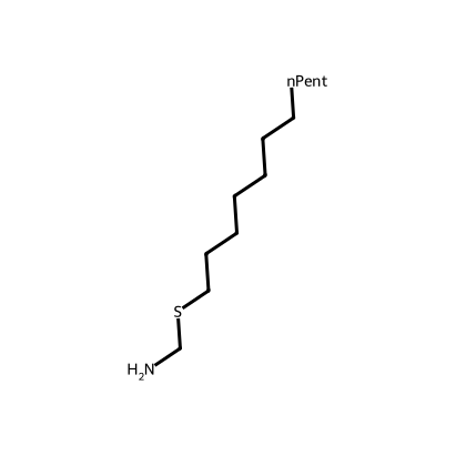 CCCCCCCCCCCCSCN